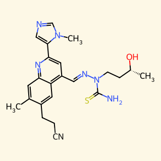 Cc1cc2nc(-c3cncn3C)cc(/C=N/N(CC[C@@H](C)O)C(N)=S)c2cc1CCC#N